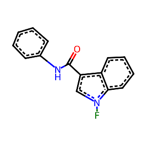 O=C(Nc1ccccc1)c1cn(F)c2ccccc12